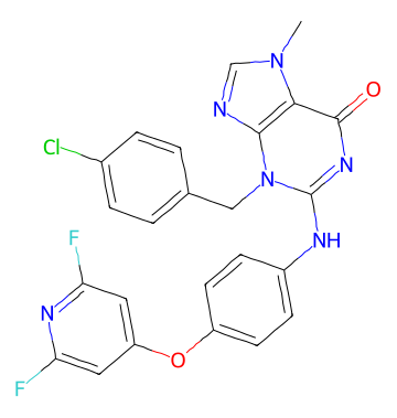 Cn1cnc2c1c(=O)nc(Nc1ccc(Oc3cc(F)nc(F)c3)cc1)n2Cc1ccc(Cl)cc1